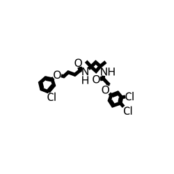 CC1(NC(=O)CCCOc2cccc(Cl)c2)CC(C)(NC(=O)COc2ccc(Cl)c(Cl)c2)C1